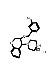 Cl.Cl.N#Cc1cccc(COC2COc3ccccc3C2N2CCNCC2)c1